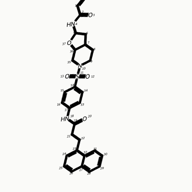 C=CC(=O)NC1CC2CCN(S(=O)(=O)c3ccc(NC(=O)CCc4cccc5ccccc45)cc3)CC2O1